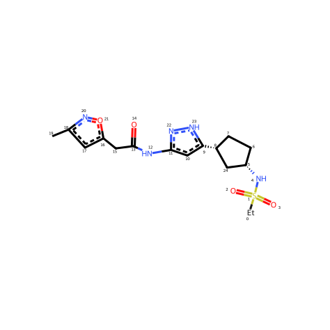 CCS(=O)(=O)N[C@H]1CC[C@@H](c2cc(NC(=O)Cc3cc(C)no3)n[nH]2)C1